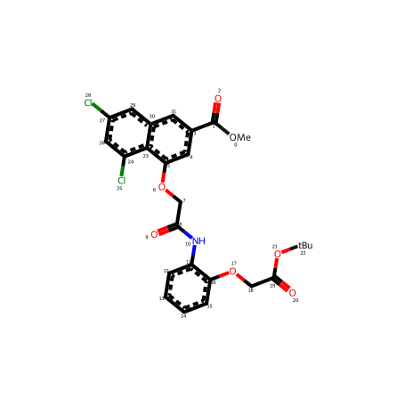 COC(=O)c1cc(OCC(=O)Nc2ccccc2OCC(=O)OC(C)(C)C)c2c(Cl)cc(Cl)cc2c1